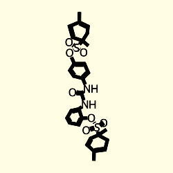 CC1=CCC(C)(S(=O)(=O)Oc2ccc(NC(=O)Nc3ccccc3OS(=O)(=O)C3(C)C=CC(C)=CC3)cc2)C=C1